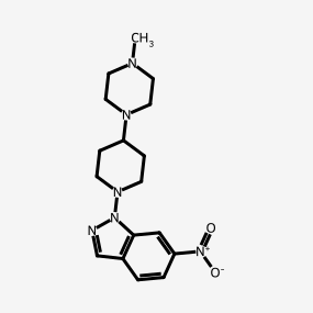 CN1CCN(C2CCN(n3ncc4ccc([N+](=O)[O-])cc43)CC2)CC1